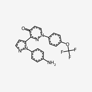 Nc1ccc(-n2nccc2-c2nn(-c3ccc(OC(F)(F)F)cc3)ccc2=O)cc1